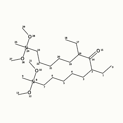 CCC(CCCCC[Si](C)(OC)OC)C(=O)C(CC)CCCCC[Si](C)(OC)OC